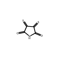 O=c1[nH]c(=O)c(=S)c1=S